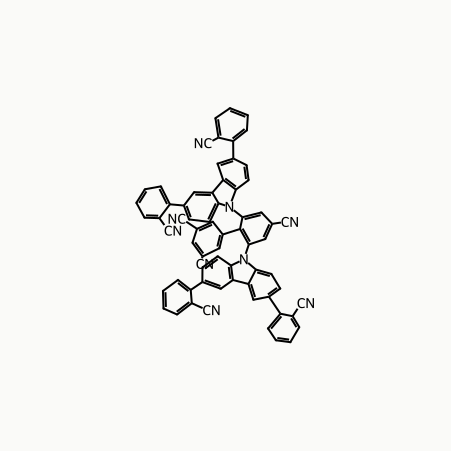 N#Cc1cc(C#N)cc(-c2c(-n3c4ccc(-c5ccccc5C#N)cc4c4cc(-c5ccccc5C#N)ccc43)cc(C#N)cc2-n2c3ccc(-c4ccccc4C#N)cc3c3cc(-c4ccccc4C#N)ccc32)c1